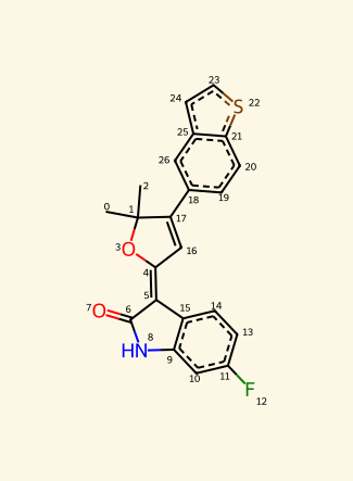 CC1(C)OC(=C2C(=O)Nc3cc(F)ccc32)C=C1c1ccc2sccc2c1